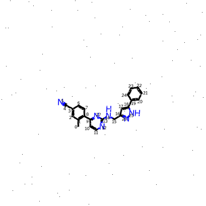 Cc1cc(C#N)ccc1-c1ccnc(NCc2cc(-c3ccccc3)[nH]n2)n1